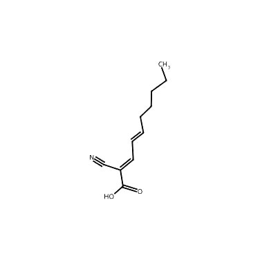 CCCCC/C=C/C=C(\C#N)C(=O)O